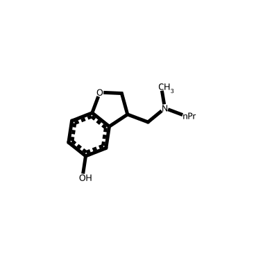 CCCN(C)CC1COc2ccc(O)cc21